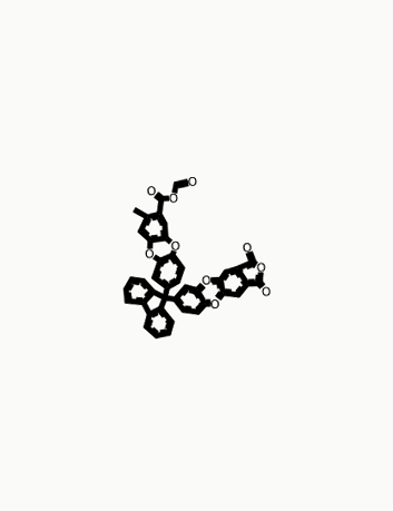 Cc1cc2c(cc1C(=O)OC=O)Oc1ccc(C3(c4ccc5oc6cc7c(=O)oc(=O)c7cc6oc5c4)c4ccccc4-c4ccccc43)cc1O2